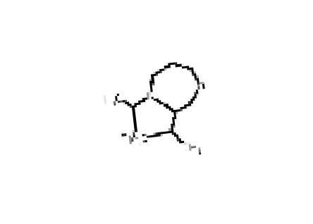 CC(C)C1COCCCN1C(C)C